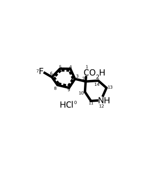 Cl.O=C(O)C1(c2ccc(F)cc2)CCNCC1